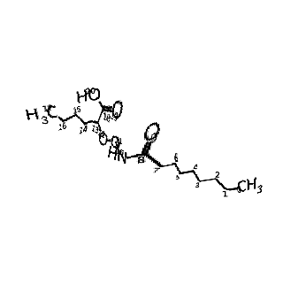 CCCCCCCCC(=O)NOOC(CCCC)C(=O)O